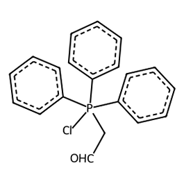 O=CCP(Cl)(c1ccccc1)(c1ccccc1)c1ccccc1